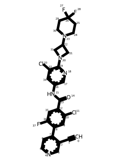 C#Cc1cnccc1-c1cc(Cl)c(C(=O)Nc2cnc(N3CC(N4CCC(F)(F)CC4)C3)c(Cl)c2)cc1F